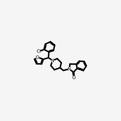 O=C1c2ccccc2CN1CC1CCN(C(c2ccco2)c2ccccc2Cl)CC1